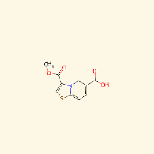 COC(=O)C1=CSC2=CC=C(C(=O)O)CN21